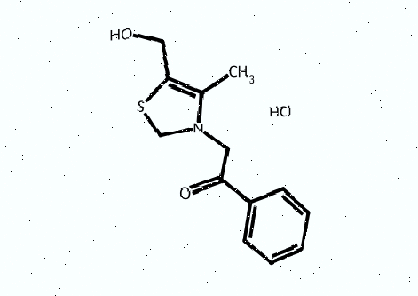 CC1=C(CO)SCN1CC(=O)c1ccccc1.Cl